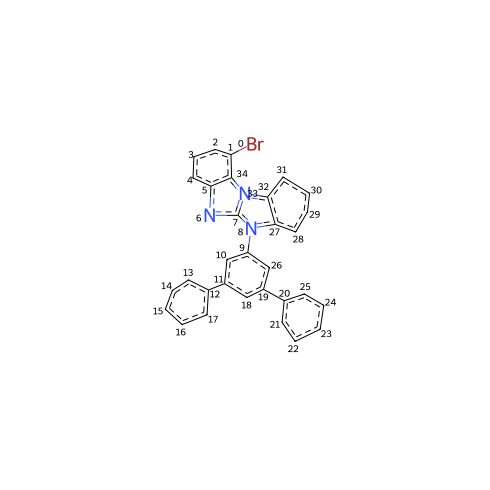 Brc1cccc2nc3n(-c4cc(-c5ccccc5)cc(-c5ccccc5)c4)c4ccccc4n3c12